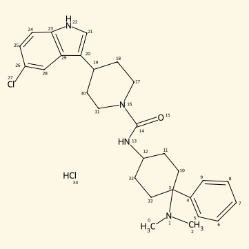 CN(C)C1(c2ccccc2)CCC(NC(=O)N2CCC(c3c[nH]c4ccc(Cl)cc34)CC2)CC1.Cl